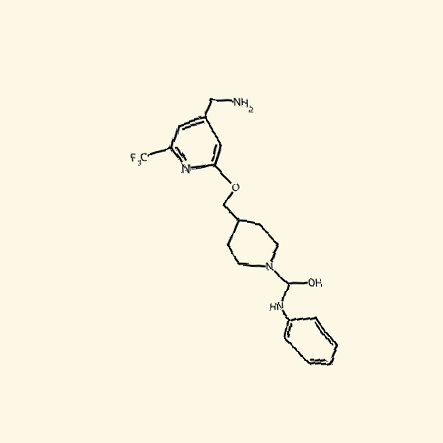 NCc1cc(OCC2CCN(C(O)Nc3ccccc3)CC2)nc(C(F)(F)F)c1